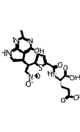 Cc1nc(O)c2c(C(C[N+](=O)[O-])c3ccc(C(=O)N[C@@H](CCC(=O)O)C(=O)O)s3)c[nH]c2n1